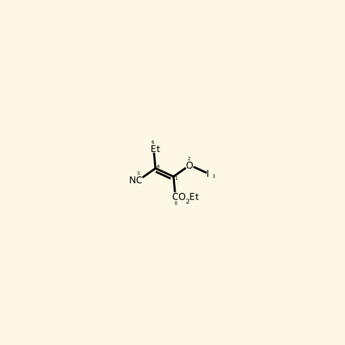 CCOC(=O)/C(OI)=C(\C#N)CC